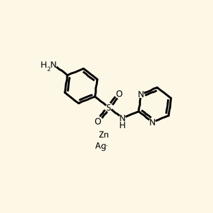 Nc1ccc(S(=O)(=O)Nc2ncccn2)cc1.[Ag].[Zn]